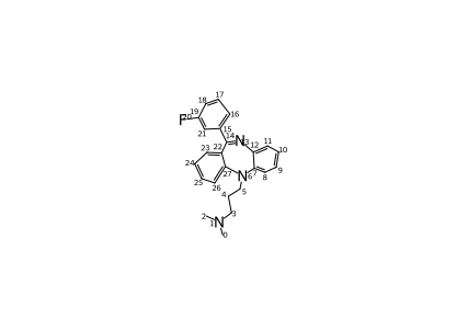 CN(C)CCCN1c2ccccc2N=C(c2cccc(F)c2)c2ccccc21